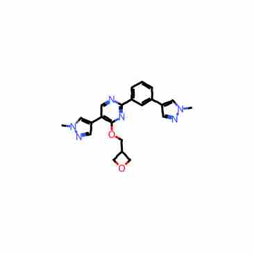 Cn1cc(-c2cccc(-c3ncc(-c4cnn(C)c4)c(OCC4COC4)n3)c2)cn1